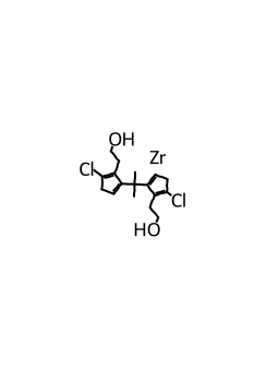 CC(C)(C1=CCC(Cl)=C1CCO)C1=CCC(Cl)=C1CCO.[Zr]